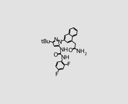 CC(C)(C)c1cc(NC(=O)Nc2ccc(F)cc2F)n(-c2cc(CC(N)=O)c3ccccc3c2)n1